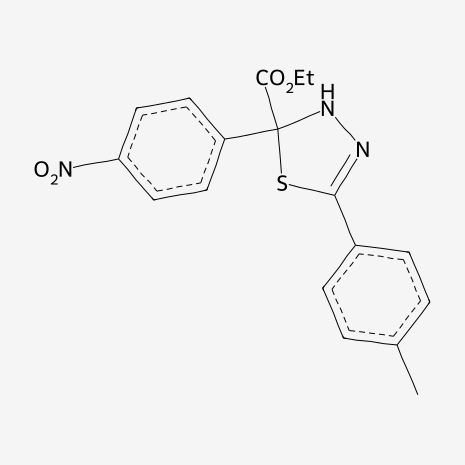 CCOC(=O)C1(c2ccc([N+](=O)[O-])cc2)NN=C(c2ccc(C)cc2)S1